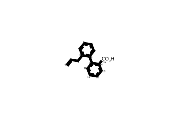 C=CCc1ccccc1-c1ccccc1C(=O)O